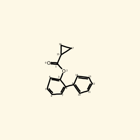 O=C(Oc1ccccc1-c1ccccc1)C1CC1